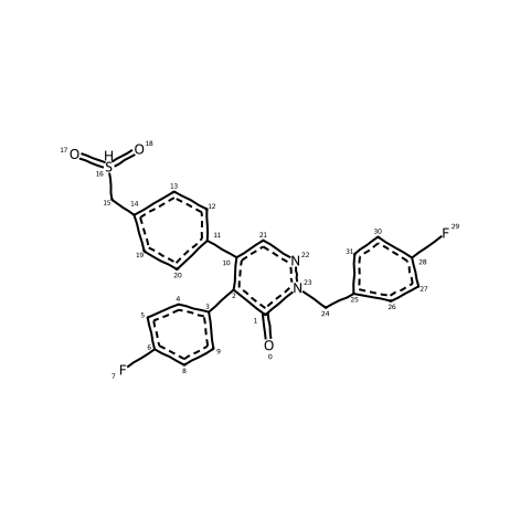 O=c1c(-c2ccc(F)cc2)c(-c2ccc(C[SH](=O)=O)cc2)cnn1Cc1ccc(F)cc1